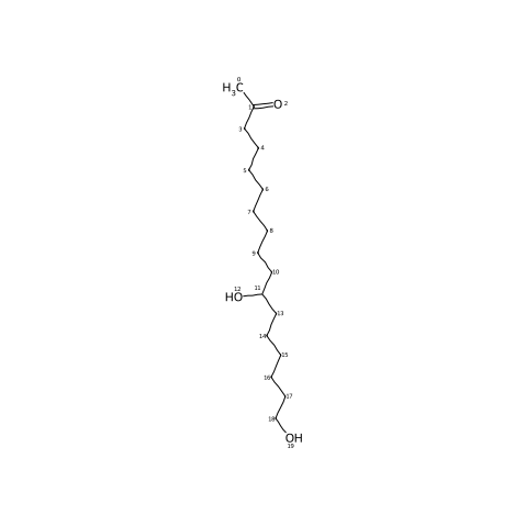 CC(=O)CCCCCCCCC(O)CCCCCCO